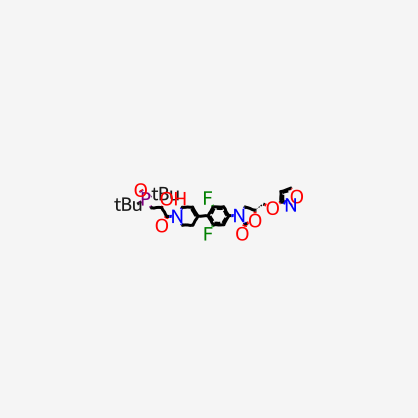 CC(C)(C)P(=O)(C[C@@H](O)C(=O)N1CC=C(c2c(F)cc(N3C[C@H](COc4ccon4)OC3=O)cc2F)CC1)C(C)(C)C